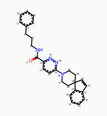 O=C(NCCCc1ccccc1)c1ccc(N2CCC3(C=Cc4ccccc43)CC2)nn1